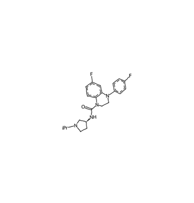 CC(C)N1CC[C@H](NC(=O)N2CCN(c3ccc(F)cc3)c3cc(F)ccc32)C1